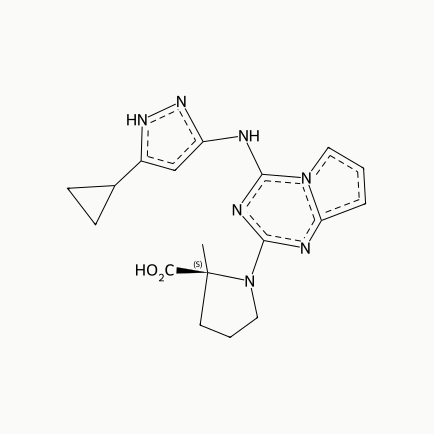 C[C@@]1(C(=O)O)CCCN1c1nc(Nc2cc(C3CC3)[nH]n2)n2cccc2n1